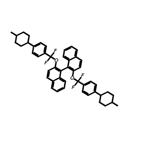 CC1CCC(c2ccc(C(F)(F)Oc3ccc4ccccc4c3-c3c(OC(F)(F)c4ccc(C5CCC(C)CC5)cc4)ccc4ccccc34)cc2)CC1